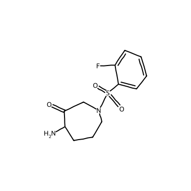 NC1CCCN(S(=O)(=O)c2ccccc2F)CC1=O